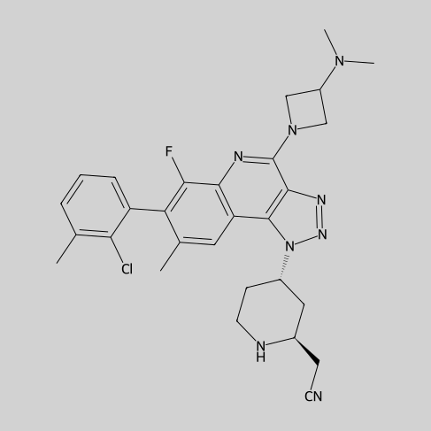 Cc1cccc(-c2c(C)cc3c(nc(N4CC(N(C)C)C4)c4nnn([C@H]5CCN[C@H](CC#N)C5)c43)c2F)c1Cl